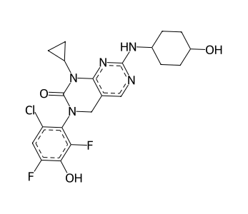 O=C1N(c2c(Cl)cc(F)c(O)c2F)Cc2cnc(NC3CCC(O)CC3)nc2N1C1CC1